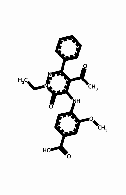 CCn1nc(-c2ccccc2)c(C(C)=O)c(Nc2ccc(C(=O)O)cc2OC)c1=O